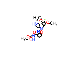 CCOc1cc(CN(c2nc3c(C(=O)NCC(=O)OC)cccc3o2)C2CCNCC2)cc(OCC)c1F